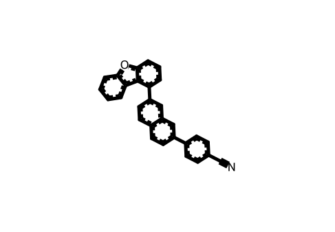 N#Cc1ccc(-c2ccc3ccc(-c4cccc5oc6ccccc6c45)cc3c2)cc1